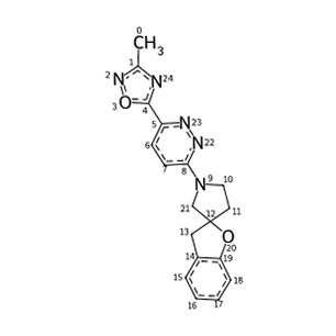 Cc1noc(-c2ccc(N3CCC4(Cc5ccccc5O4)C3)nn2)n1